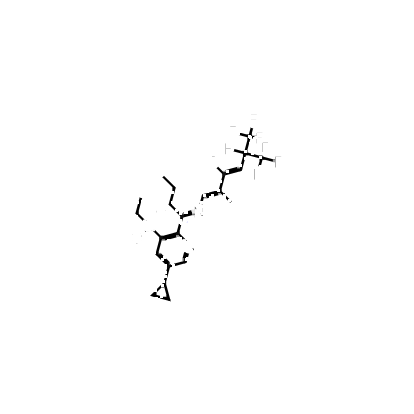 CCC/C(=N\C=C(/C)C(F)=CC(F)(C(F)(F)F)C(F)(F)F)c1ncc(C2CC2)cc1S(=O)(=O)CC